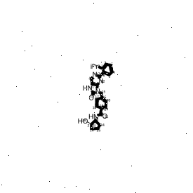 CC(C)c1ccccc1-c1ncc2[nH]c(=O)n(Cc3ccc(C(=O)N[C@@H]4CCC[C@@H]4O)cc3)c2n1